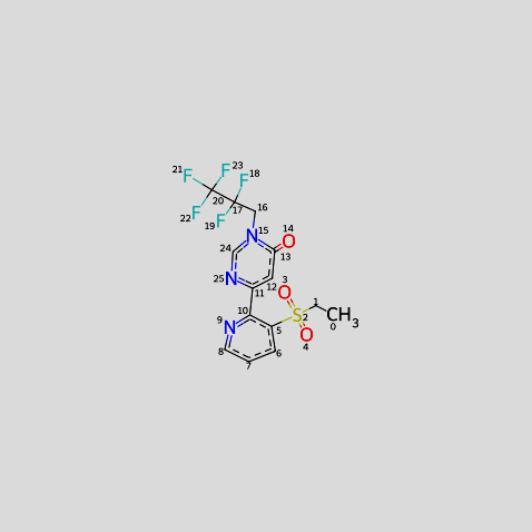 CCS(=O)(=O)c1cccnc1-c1cc(=O)n(CC(F)(F)C(F)(F)F)cn1